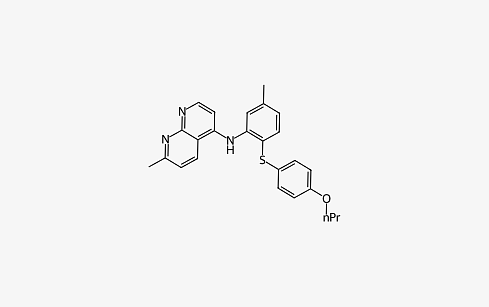 CCCOc1ccc(Sc2ccc(C)cc2Nc2ccnc3nc(C)ccc23)cc1